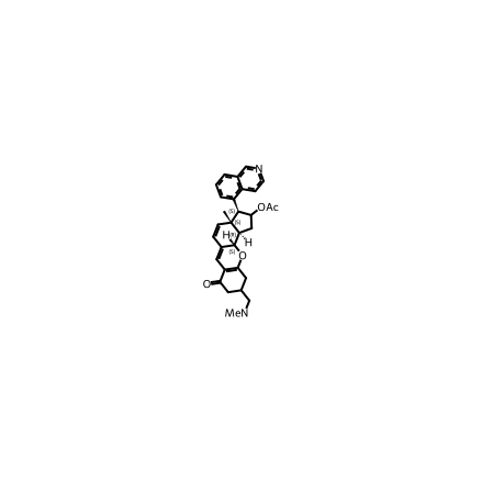 CNCC1CC(=O)C2=C(C1)O[C@@H]1C(=C2)C=C[C@]2(C)[C@@H](c3cccc4cnccc34)C(OC(C)=O)C[C@@H]12